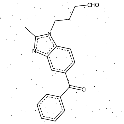 Cc1nc2cc(C(=O)c3ccccc3)ccc2n1CCCC=O